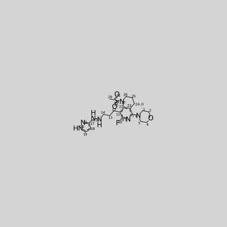 C[C@@H]1COCCN1c1nc(F)c(CCCNNc2cc[nH]n2)c2c1CCCN2S(C)(=O)=O